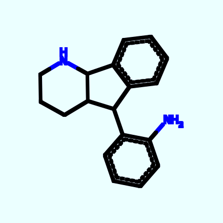 Nc1ccccc1C1c2ccccc2C2NCCCC21